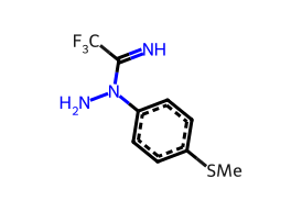 CSc1ccc(N(N)C(=N)C(F)(F)F)cc1